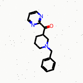 O=C(c1ncccn1)C1CCCN(Cc2ccccc2)C1